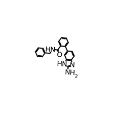 Nc1nc2ccc(-c3ccccc3C(=O)NCc3ccccc3)cc2[nH]1